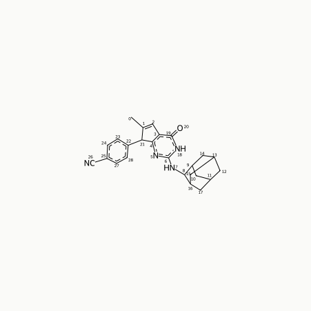 CC1=Cc2c(nc(NC3C4CC5CC(C4)CC3C5)[nH]c2=O)C1c1ccc(C#N)cc1